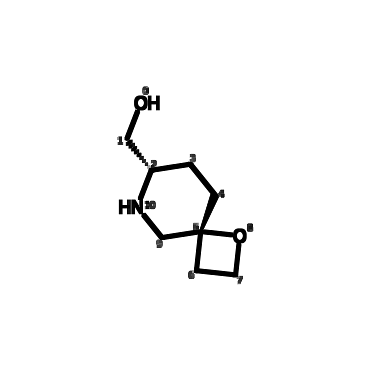 OC[C@@H]1CC[C@@]2(CCO2)CN1